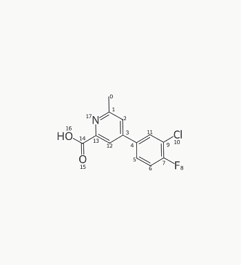 Cc1cc(-c2ccc(F)c(Cl)c2)cc(C(=O)O)n1